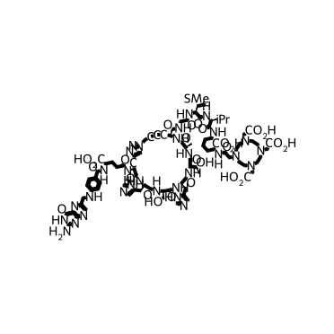 CSCC[C@H](NC(=O)CNC(=O)[C@@H]1CCCCn2cc(nn2)C[C@H](NC(=O)CC[C@H](NC(=O)c2ccc(NCc3cnc4nc(N)[nH]c(=O)c4n3)cc2)C(=O)O)C(=O)N[C@H](Cc2cnc[nH]2)C(=O)N[C@H](CO)C(=O)N[C@H](Cc2cnc[nH]2)C(=O)N[C@H]([C@H](C)O)C(=O)N[C@H](C)C(=O)N1)C(=O)N[C@H](C(=O)N[C@@H](CCCCNC(=O)CN1CCN(CC(=O)O)CCN(CC(=O)O)CCN(CC(=O)O)CC1)C(=O)O)C(C)C